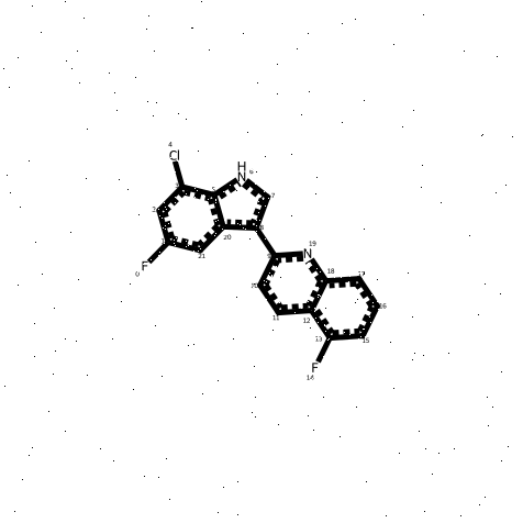 Fc1cc(Cl)c2[nH]cc(-c3ccc4c(F)cccc4n3)c2c1